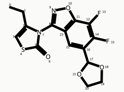 CCc1csc(=O)n1-c1noc2c(F)c(F)c(C3OCCO3)cc12